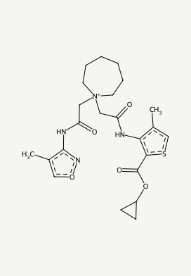 Cc1conc1NC(=O)C[N+]1(CC(=O)Nc2c(C)csc2C(=O)OC2CC2)CCCCCC1